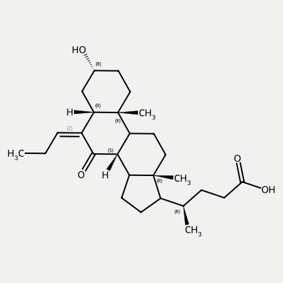 CC/C=C1\C(=O)[C@H]2C3CCC([C@H](C)CCC(=O)O)[C@@]3(C)CCC2[C@@]2(C)CC[C@@H](O)C[C@@H]12